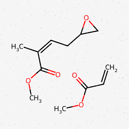 C=CC(=O)OC.COC(=O)C(C)=CCC1CO1